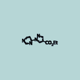 CCOC(=O)c1cnn(-c2ccncn2)c1